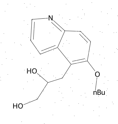 CCCCOc1ccc2ncccc2c1CC(O)CO